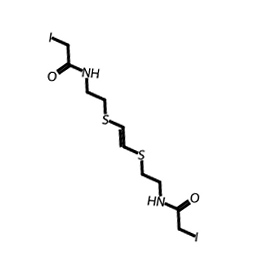 O=C(CI)NCCS/C=C/SCCNC(=O)CI